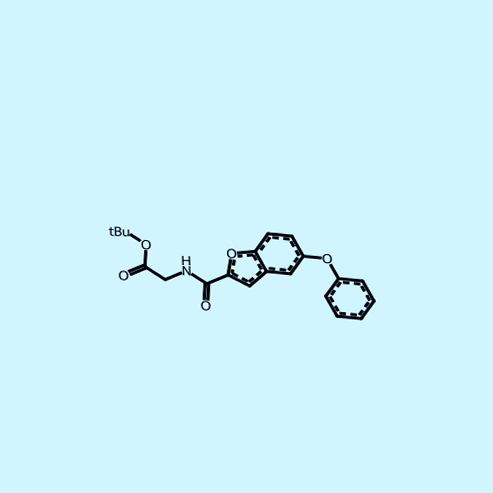 CC(C)(C)OC(=O)CNC(=O)c1cc2cc(Oc3ccccc3)ccc2o1